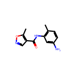 Cc1ccc(N)cc1NC(=O)c1cnoc1C